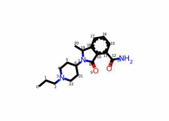 CCCN1CCC(N2C(=O)c3c(C(N)=O)cccc3C2C)CC1